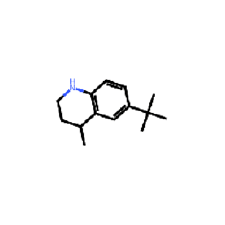 CC1CCNc2ccc(C(C)(C)C)cc21